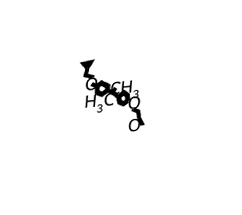 CC(C)(c1ccc(OCCC2CC2)cc1)c1ccc(OCCC2CO2)cc1